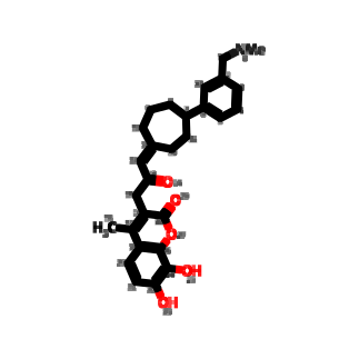 CNCc1cccc(C2CCC/C(=C/C(=O)Cc3c(C)c4ccc(O)c(O)c4oc3=O)CC2)c1